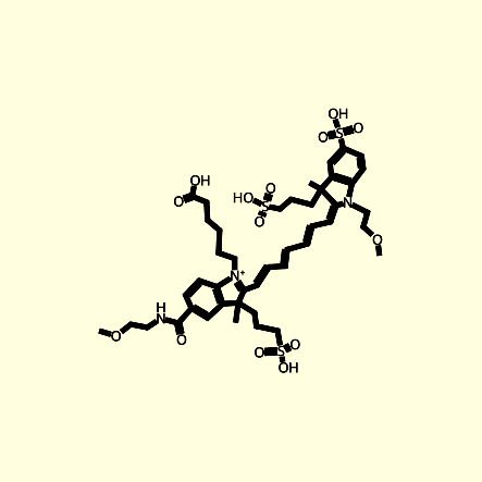 COCCNC(=O)c1ccc2c(c1)C(C)(CCCS(=O)(=O)O)C(/C=C/C=C/C=C/C=C1/N(CCOC)c3ccc(S(=O)(=O)O)cc3C1(C)CCCS(=O)(=O)O)=[N+]2CCCCCC(=O)O